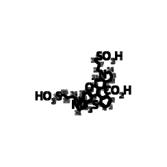 O=C(O)c1cccc(S(=O)(=O)O)c1C1=C2C=C3CCCN(CCCS(=O)(=O)O)C3=CC2Oc2cc3c(cc21)CCCN3CCCS(=O)(=O)O